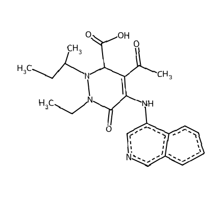 CCC(C)N1C(C(=O)O)C(C(C)=O)=C(Nc2cncc3ccccc23)C(=O)N1CC